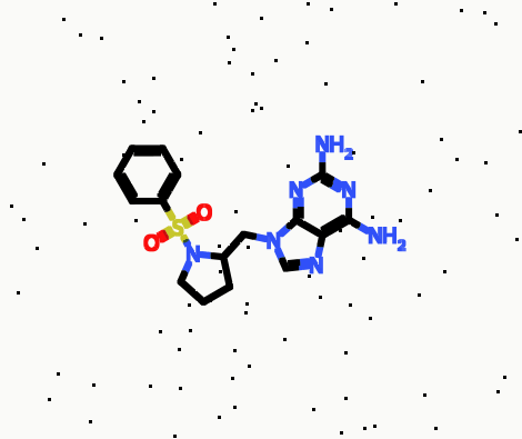 Nc1nc(N)c2ncn(CC3CCCN3S(=O)(=O)c3ccccc3)c2n1